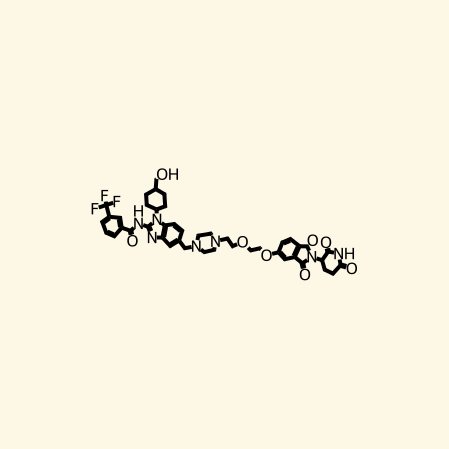 O=C1CCC(N2C(=O)c3ccc(OCCOCCN4CCN(Cc5ccc6c(c5)nc(NC(=O)c5cccc(C(F)(F)F)c5)n6C5CCC(CO)CC5)CC4)cc3C2=O)C(=O)N1